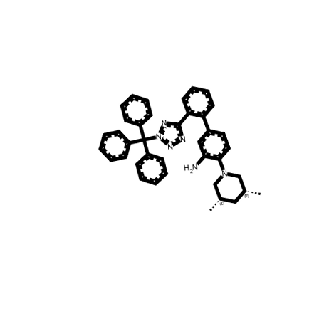 C[C@@H]1C[C@H](C)CN(c2ccc(-c3ccccc3-c3nnn(C(c4ccccc4)(c4ccccc4)c4ccccc4)n3)cc2N)C1